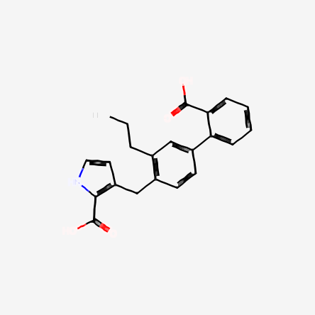 CCCc1cc(-c2ccccc2C(=O)O)ccc1Cc1cc[nH]c1C(=O)O